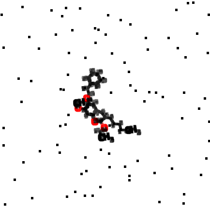 CCCCCC(Cc1ccc(OC)c(OCCc2ccccc2)c1)C(=O)OCC